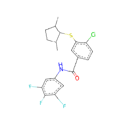 CC1CCC(C)C1Sc1cc(C(=O)Nc2cc(F)c(F)c(F)c2)ccc1Cl